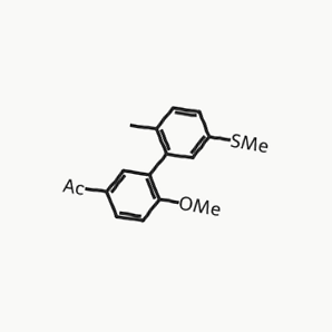 COc1ccc(C(C)=O)cc1-c1cc(SC)ccc1C